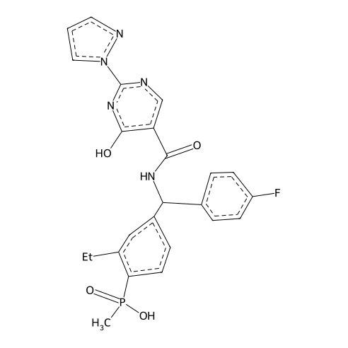 CCc1cc(C(NC(=O)c2cnc(-n3cccn3)nc2O)c2ccc(F)cc2)ccc1P(C)(=O)O